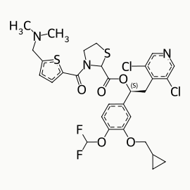 CN(C)Cc1ccc(C(=O)N2CCSC2C(=O)O[C@@H](Cc2c(Cl)cncc2Cl)c2ccc(OC(F)F)c(OCC3CC3)c2)s1